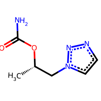 C[C@@H](Cn1ccnn1)OC(N)=O